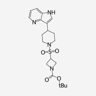 CC(C)(C)OC(=O)N1CC(S(=O)(=O)N2CCC(c3c[nH]c4cccnc34)CC2)C1